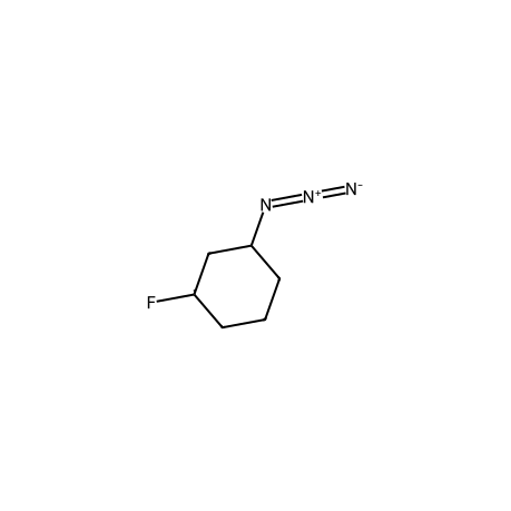 [N-]=[N+]=NC1CCC[C](F)C1